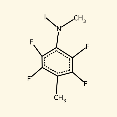 Cc1c(F)c(F)c(N(C)I)c(F)c1F